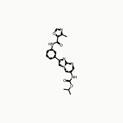 Cc1ncoc1C(=O)Nc1cccc(-c2cn3cc(NC(=O)OC(C)C)cnc3n2)c1